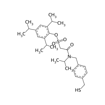 CC(C)c1cc(C(C)C)c(OS(=O)(=O)CC(=O)N(Cc2ccc(CS)cc2)C(C)C)c(C(C)C)c1